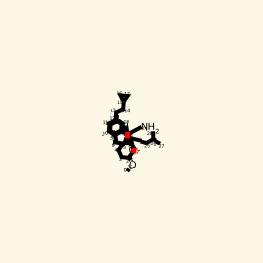 COC1CCC2(CC1)Cc1ccc(CCC3CC3)cc1C21N=C(N)N(CC(C)C)C1=O